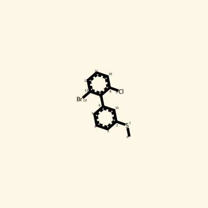 CSc1cccc(-c2c(Cl)cccc2Br)c1